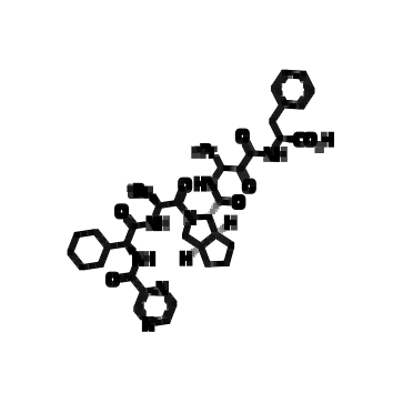 CCCC(NC(=O)[C@@H]1[C@H]2CCC[C@H]2CN1C(=O)[C@@H](NC(=O)[C@@H](NC(=O)c1cnccn1)C1CCCCC1)C(C)(C)C)C(=O)C(=O)N[C@@H](Cc1ccccc1)C(=O)O